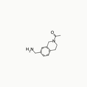 CC(=O)N1CCc2ccc(CN)cc2C1